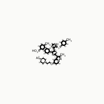 CC(=O)N1CCN(CCOc2ccn3nc(C)c(-c4nc(-c5ccccc5)c(-c5nc[nH]n5)s4)c3c2)CC1.Cc1ccc(S(=O)(=O)O)cc1.Cc1ccc(S(=O)(=O)O)cc1